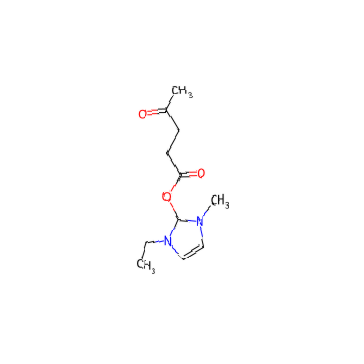 CCN1C=CN(C)C1OC(=O)CCC(C)=O